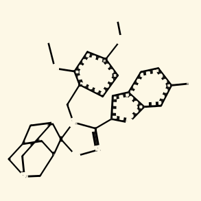 COc1ccc(CN2C(c3cc4ccc(F)cc4s3)=NOC23C2CC4CC3CN(C4)C2)c(OC)c1